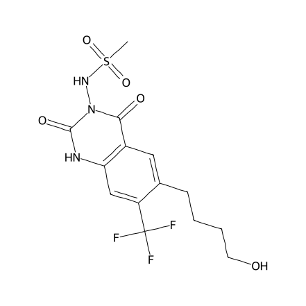 CS(=O)(=O)Nn1c(=O)[nH]c2cc(C(F)(F)F)c(CCCCO)cc2c1=O